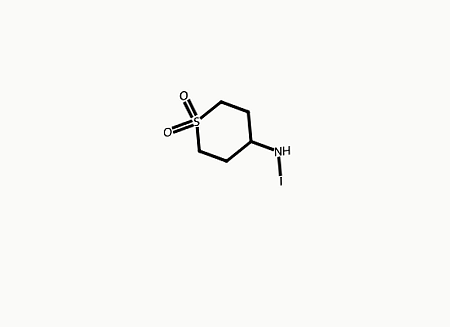 O=S1(=O)CCC(NI)CC1